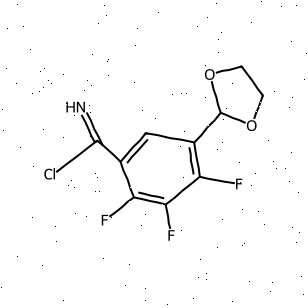 N=C(Cl)c1cc(C2OCCO2)c(F)c(F)c1F